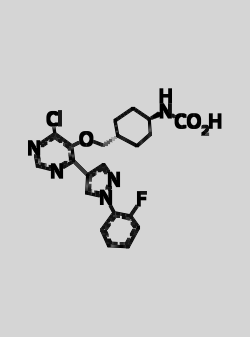 O=C(O)N[C@H]1CC[C@H](COc2c(Cl)ncnc2-c2cnn(-c3ccccc3F)c2)CC1